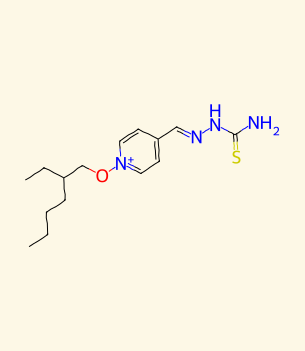 CCCCC(CC)CO[n+]1ccc(/C=N/NC(N)=S)cc1